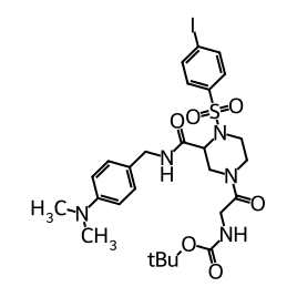 CN(C)c1ccc(CNC(=O)C2CN(C(=O)CNC(=O)OC(C)(C)C)CCN2S(=O)(=O)c2ccc(I)cc2)cc1